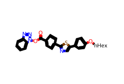 CCCCCCOc1ccc(-c2cnc(-c3ccc(C(=O)On4nnc5ccccc54)cc3)s2)cc1